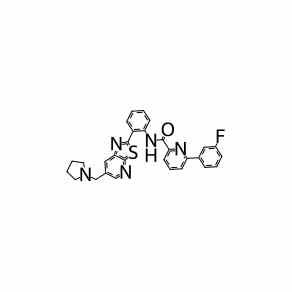 O=C(Nc1ccccc1-c1nc2cc(CN3CCCC3)cnc2s1)c1cccc(-c2cccc(F)c2)n1